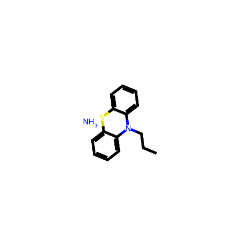 CCCN1c2ccccc2Sc2ccccc21.N